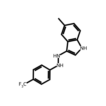 Cc1ccc2[nH]cc(NNc3ccc(C(F)(F)F)cc3)c2c1